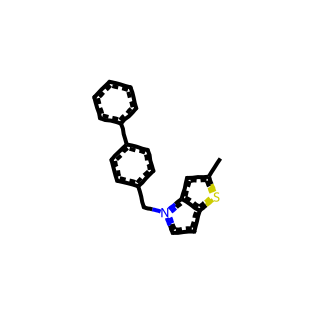 Cc1cc2c(ccn2Cc2ccc(-c3ccccc3)cc2)s1